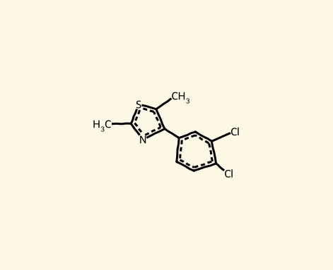 Cc1nc(-c2ccc(Cl)c(Cl)c2)c(C)s1